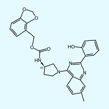 Cc1ccc2c(N3CC[C@@H](NC(=O)OCc4cccc5c4OCO5)C3)nc(-c3ccccc3O)nc2c1